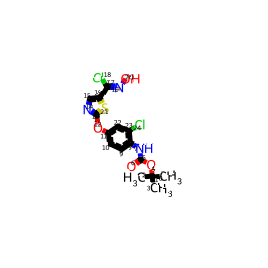 CC(C)(C)OC(=O)Nc1ccc(Oc2ncc(C(Cl)=NO)s2)cc1Cl